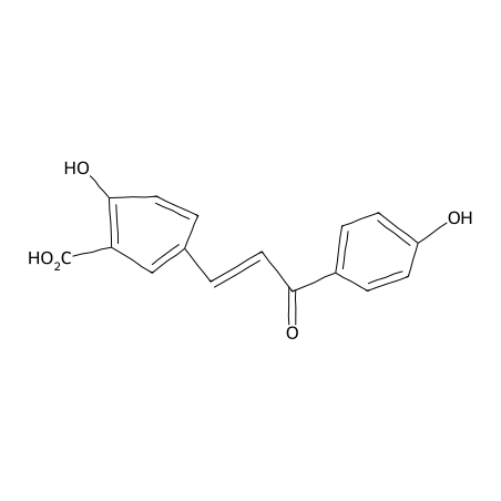 O=C(/C=C/c1ccc(O)c(C(=O)O)c1)c1ccc(O)cc1